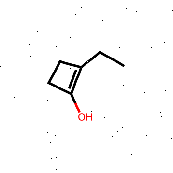 CCC1=C(O)CC1